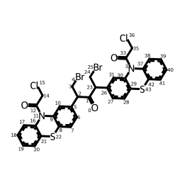 O=C(C(CBr)c1ccc2c(c1)N(C(=O)CCl)c1ccccc1S2)C(CBr)c1ccc2c(c1)N(C(=O)CCl)c1ccccc1S2